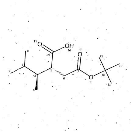 CC(C)[C@H](C)[C@@H](CC(=O)OC(C)(C)C)C(=O)O